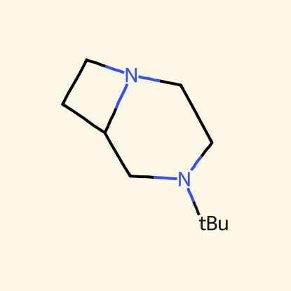 CC(C)(C)N1CCN2CCC2C1